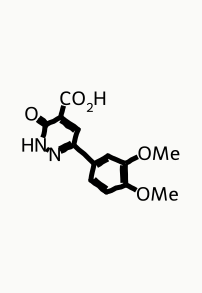 COc1ccc(-c2cc(C(=O)O)c(=O)[nH]n2)cc1OC